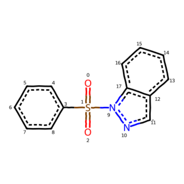 O=S(=O)(c1ccccc1)n1n[c]c2ccccc21